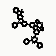 CC1(C)c2ccccc2-c2cc3c(cc21)c1cc(-c2ccc4c(c2)-c2cc(-c5nc(-c6ccccc6)nc(-c6ccccc6)n5)ccc2C42c4ccccc4Oc4ccccc42)ccc1n3-c1ccccc1